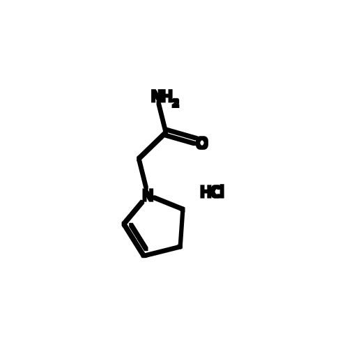 Cl.NC(=O)CN1C=CCC1